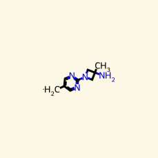 [CH2]c1cnc(N2CC(C)(N)C2)nc1